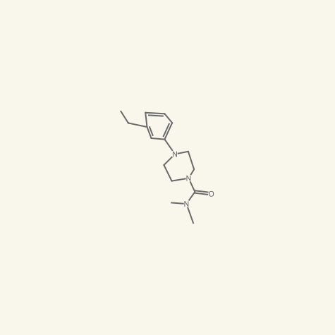 CCc1cccc(N2CCN(C(=O)N(C)C)CC2)c1